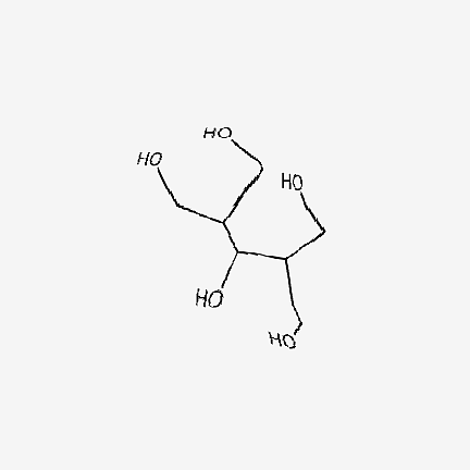 OCC(CO)C(O)C(CO)CO